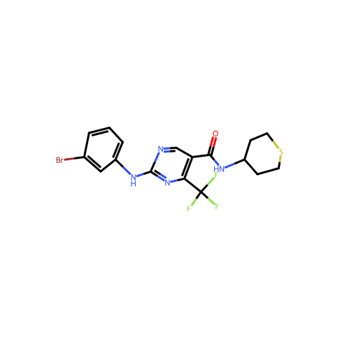 O=C(NC1CCSCC1)c1cnc(Nc2cccc(Br)c2)nc1C(F)(F)F